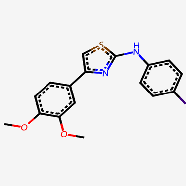 COc1ccc(-c2csc(Nc3ccc(I)cc3)n2)cc1OC